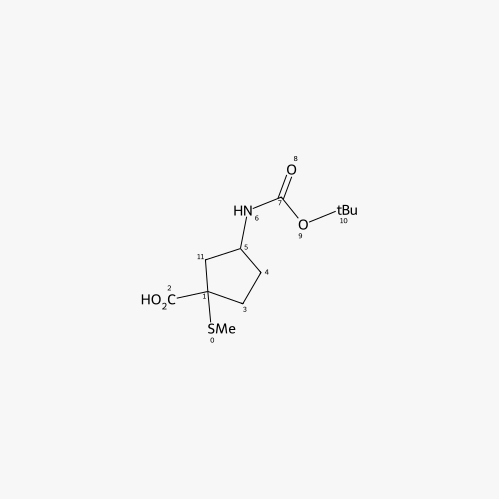 CSC1(C(=O)O)CCC(NC(=O)OC(C)(C)C)C1